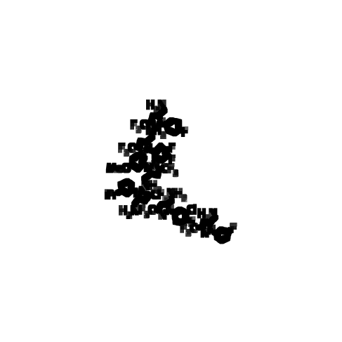 CC(C)c1cccc(-n2nc(C(F)(F)F)cc2CN)c1.COc1cccc(-n2nc(C(F)(F)F)cc2CN)c1.NCc1cc(C(F)(F)F)nn1-c1ccc(F)c(Cl)c1.NCc1cc(C(F)(F)F)nn1-c1ccc(F)c(F)c1.NCc1cc(C(F)(F)F)nn1-c1ccc(F)cc1.NCc1cc(C(F)(F)F)nn1-c1cccc(F)c1